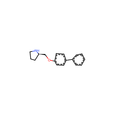 c1ccc(-c2ccc(OC[C@H]3CCCN3)cc2)cc1